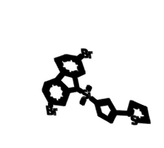 C[Si](C)(C1=CC(c2cccs2)=CC1)C1c2cc(Br)ccc2-c2ccc(Br)cc21